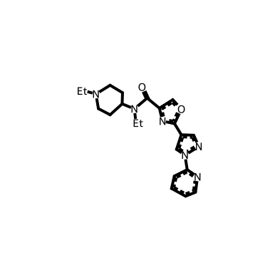 CCN1CCC(N(CC)C(=O)c2coc(-c3cnn(-c4ccccn4)c3)n2)CC1